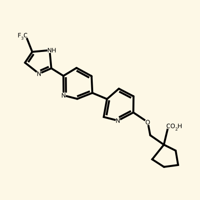 O=C(O)C1(COc2ccc(-c3ccc(-c4ncc(C(F)(F)F)[nH]4)nc3)cn2)CCCC1